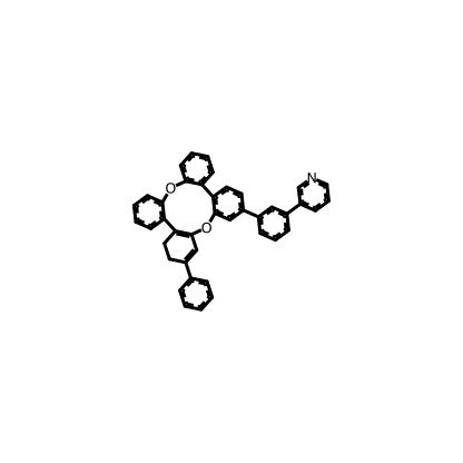 C1=C(c2ccccc2)CCC2=C1Oc1cc(-c3cccc(-c4cccnc4)c3)ccc1-c1ccccc1Oc1ccccc12